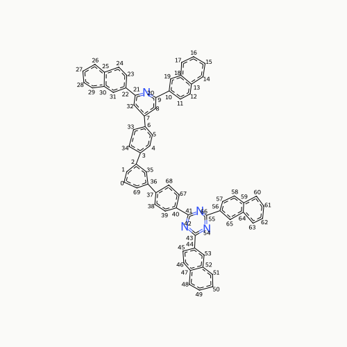 c1cc(-c2ccc(-c3cc(-c4ccc5ccccc5c4)nc(-c4ccc5ccccc5c4)c3)cc2)cc(-c2ccc(-c3nc(-c4ccc5ccccc5c4)nc(-c4ccc5ccccc5c4)n3)cc2)c1